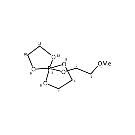 COCCOP12(OCCO1)OCCO2